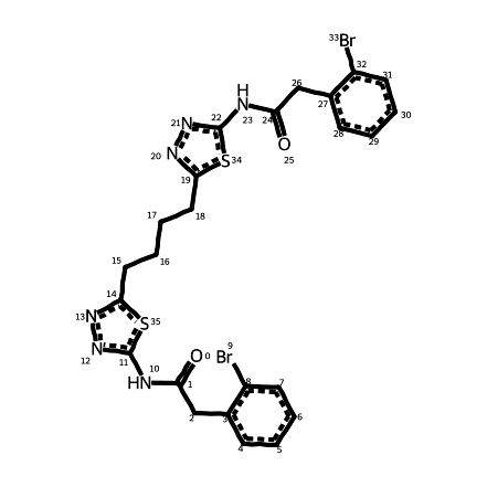 O=C(Cc1ccccc1Br)Nc1nnc(CCCCc2nnc(NC(=O)Cc3ccccc3Br)s2)s1